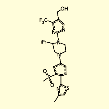 Cc1csc(-c2ccc(N3CCN(c4ncc(CO)c(C(F)(F)F)n4)C(C(C)C)C3)cc2S(C)(=O)=O)n1